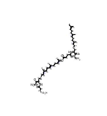 CC(C)=CCC/C(C)=C/CC/C(C)=C/CSCC(NC(=O)CCC(=O)O/C(C)=C/CC/C(C)=C/CC/C(C)=C/CSCC(NC(=O)CCC(=O)O)C(=O)NO)C(=O)NN